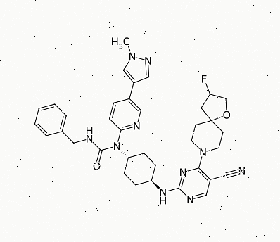 Cn1cc(-c2ccc(N(C(=O)NCc3ccccc3)[C@H]3CC[C@H](Nc4ncc(C#N)c(N5CCC6(CC5)CC(F)CO6)n4)CC3)nc2)cn1